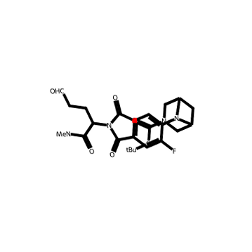 CNC(=O)C(CCC=O)N1C(=O)c2cc(F)c(N3C4CC3CN(C(=O)OC(C)(C)C)C4)cc2C1=O